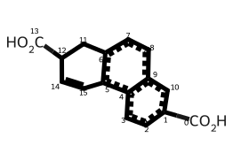 O=C(O)c1ccc2c3c(ccc2c1)CC(C(=O)O)C=C3